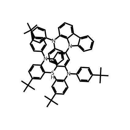 CC(C)(C)c1ccc(N2c3ccc(C(C)(C)C)cc3[SH]3c4cc(C(C)(C)C)ccc4N(c4ccc(C(C)(C)C)cc4)c4cc(-n5c6ccccc6c6cccc(N(c7ccccc7)c7ccccc7)c65)cc2c43)cc1